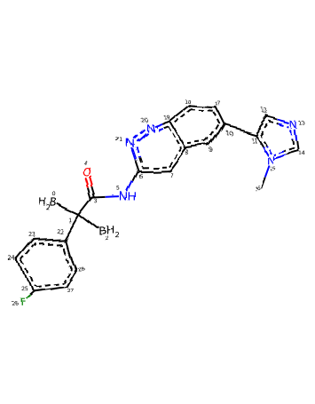 BC(B)(C(=O)Nc1cc2cc(-c3cncn3C)ccc2nn1)c1ccc(F)cc1